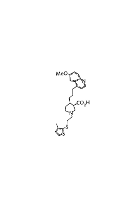 COc1ccc2nccc(CCC[C@@H]3CCN(CCSc4sccc4C)C[C@@H]3C(=O)O)c2c1